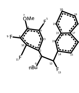 CCCCC(c1cc(F)c(OC)c(F)c1F)C(F)c1ccc2ccccc2c1